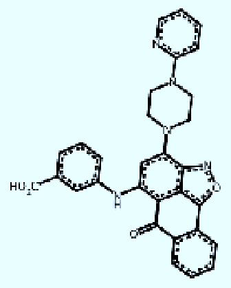 O=C(O)c1cccc(Nc2cc(N3CCN(c4ccccn4)CC3)c3noc4c3c2C(=O)c2ccccc2-4)c1